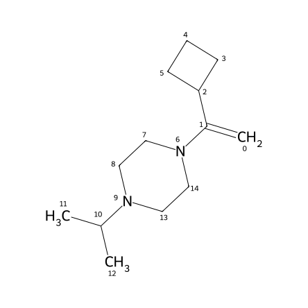 C=C(C1CCC1)N1CCN(C(C)C)CC1